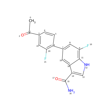 CC(=O)c1ccc(-c2cc(F)c3[nH]cc(C(N)=O)c3c2)c(F)c1